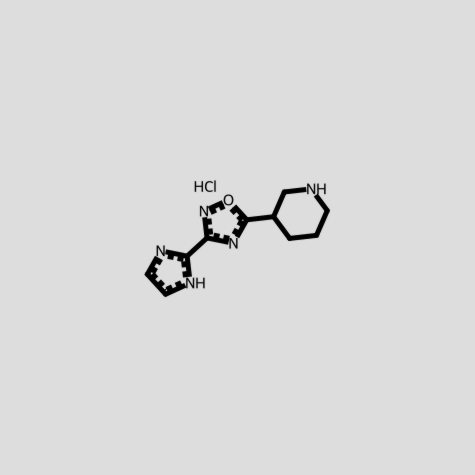 Cl.c1c[nH]c(-c2noc(C3CCCNC3)n2)n1